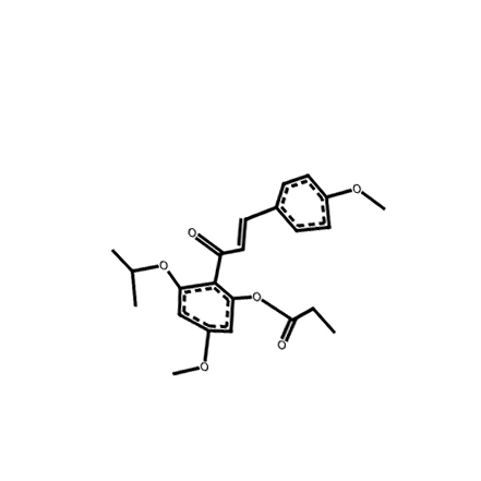 CCC(=O)Oc1cc(OC)cc(OC(C)C)c1C(=O)C=Cc1ccc(OC)cc1